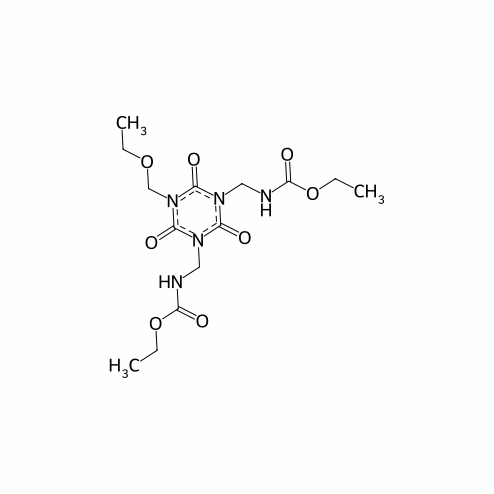 CCOCn1c(=O)n(CNC(=O)OCC)c(=O)n(CNC(=O)OCC)c1=O